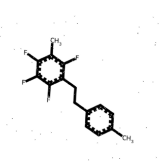 Cc1ccc(CCc2c(F)c(C)c(F)c(F)c2F)cc1